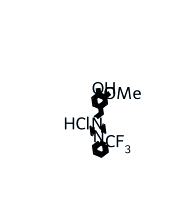 COc1cc(CCN2CCN(c3ccccc3C(F)(F)F)CC2)ccc1O.Cl